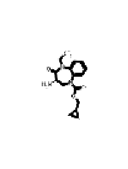 N[C@H]1CN(C(=O)OCC2CC2)c2ccccc2N(CC(F)(F)F)C1=O